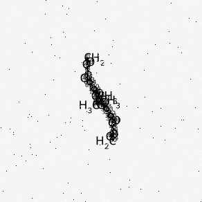 C=CC(=O)OCCCCOC(=O)C1CCC(C2CCC(C(=O)Oc3cc(C)c(OC(=O)C4CCC(C5CCC(C(=O)OCCCCOC(=O)C=C)CC5)CC4)c(C)c3C)CC2)CC1